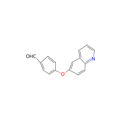 O=Cc1ccc(Oc2ccc3ncccc3c2)cc1